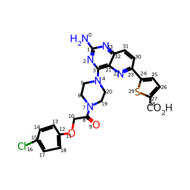 Nc1nc(N2CCN(C(=O)COc3ccc(Cl)cc3)CC2)c2nc(-c3ccc(C(=O)O)s3)ccc2n1